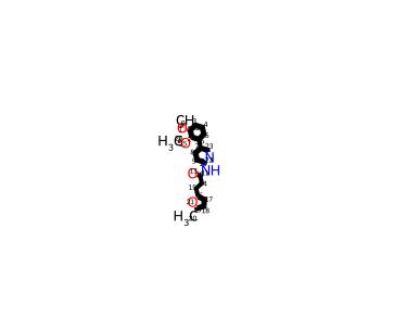 COc1cccc(-c2ccc(NC(=O)CCc3ccc(C)o3)nc2)c1OC